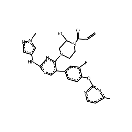 C=CC(=O)N1CCN(c2nc(Nc3cnn(C)c3)ncc2-c2ccc(Oc3nccc(C)n3)c(F)c2)CC1CC